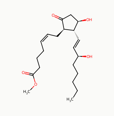 CCCCC[C@H](O)/C=C/[C@H]1[C@H](O)CC(=O)[C@@H]1C/C=C\CCCC(=O)OC